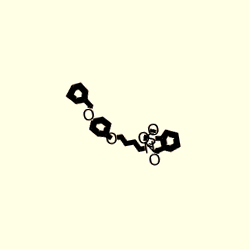 O=C1c2ccccc2S(=O)(=O)N1CCCCOc1ccc(OCc2ccccc2)cc1